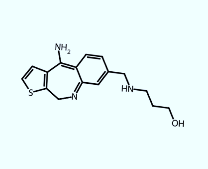 NC1=c2ccc(CNCCCO)cc2=NCc2sccc21